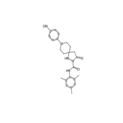 Cc1cc(C)c(NC(=O)N2NC3(CCN(c4ccc(N=O)cc4)CC3)CC2=O)c(C)c1